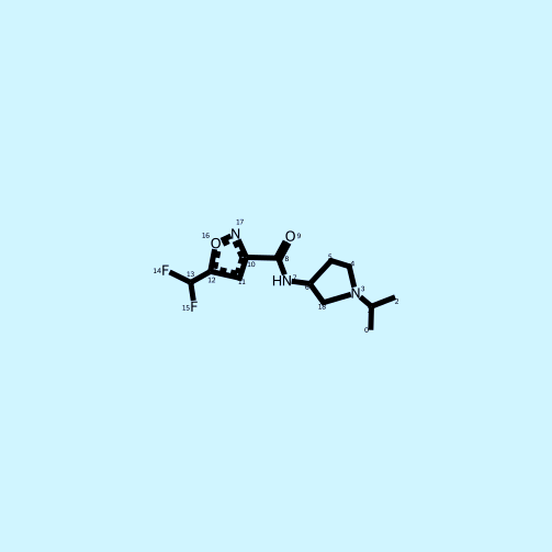 CC(C)N1CCC(NC(=O)c2cc(C(F)F)on2)C1